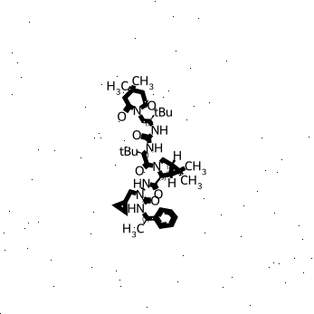 C[C@H](NC(=O)N(CC1CC1)NC(=O)[C@@H]1[C@@H]2[C@H](CN1C(=O)[C@@H](NC(=O)N[C@H](CN1C(=O)CC(C)(C)CC1=O)C(C)(C)C)C(C)(C)C)C2(C)C)c1ccccc1